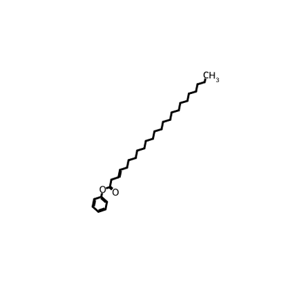 CCCCCCCCCCCCCCCCCCCCC=CCC(=O)Oc1ccccc1